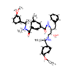 COc1ccc([C@@H](C)NC[C@@H](O)[C@H](Cc2ccccc2)NC(=O)c2cc(C)cc(C(=O)N(C)C(C)c3cccc(OC)c3)c2)cc1